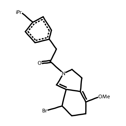 COC1=C2CCN(C(=O)Cc3ccc(C(C)C)cc3)C=C2C(Br)CC1